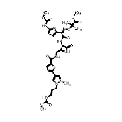 C[n+]1cc(-c2ncc(C(=O)NCC3NC(=O)C3NC(=O)/C(=N\OC(C)(C)C(=O)OC(C)(C)C)c3csc(NC(=O)OC(C)(C)C)n3)s2)cn1CCCNC(=O)OC(C)(C)C